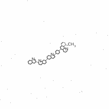 CCC1CC=Cc2cc(-c3ccc(-c4ccc5cc(-c6ccc7ccc(-c8cnc9ccccc9c8)nc7c6)ccc5n4)cc3)c3cccnc3c21